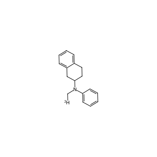 [2H]CN(c1ccccc1)C1CCc2ccccc2C1